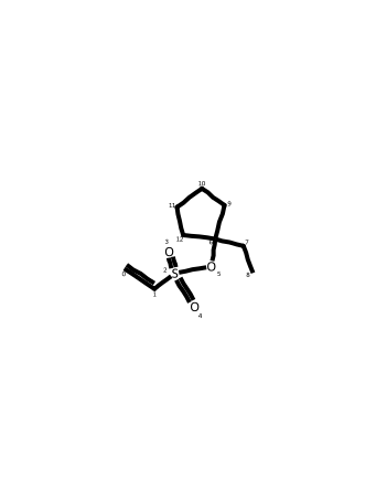 C=CS(=O)(=O)OC1(CC)CCCC1